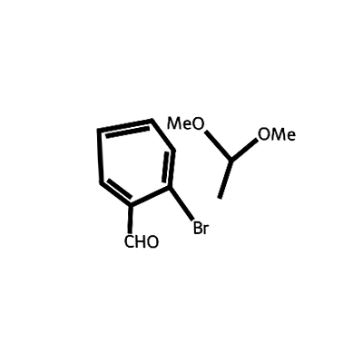 COC(C)OC.O=Cc1ccccc1Br